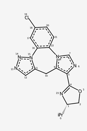 CC(C)[C@H]1COC(c2ncn3c2Cc2cnnn2-c2cc(Cl)ccc2-3)=N1